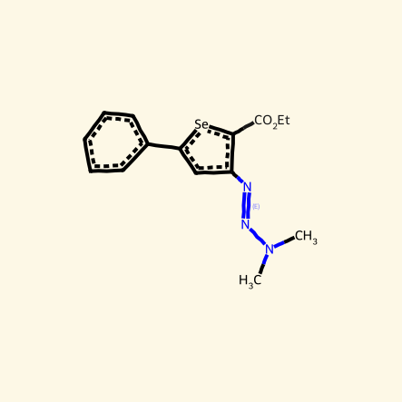 CCOC(=O)c1[se]c(-c2ccccc2)cc1/N=N/N(C)C